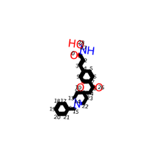 O=C(C=Cc1ccc2c(c1)OC1(CCN(Cc3ccccc3)CC1)CC2=O)NO